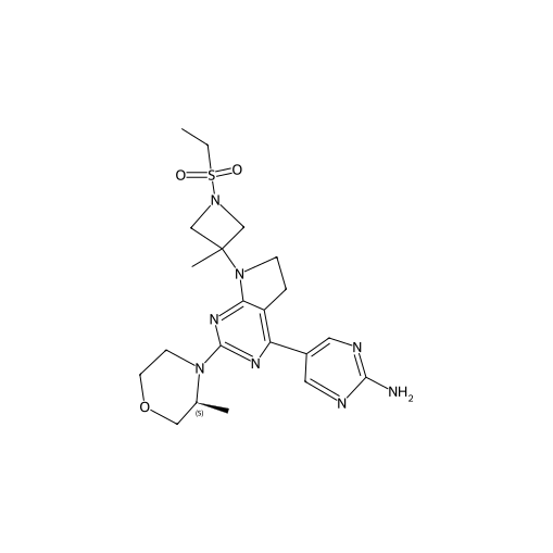 CCS(=O)(=O)N1CC(C)(N2CCc3c(-c4cnc(N)nc4)nc(N4CCOC[C@@H]4C)nc32)C1